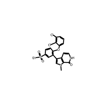 CCS(=O)(=O)c1ccc(Oc2cccc(Cl)c2Cl)c(-c2cn(C)c3c(=O)[nH]ccc23)c1